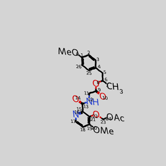 COc1ccc(CC(C)OC(=O)CNC(=O)c2nccc(OC)c2OCOC(C)=O)cc1